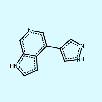 c1cc2c(-c3cn[nH]c3)cncc2[nH]1